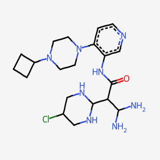 NC(N)C(C(=O)Nc1cnccc1N1CCN(C2CCC2)CC1)C1NCC(Cl)CN1